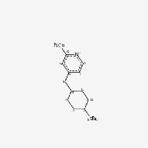 CC(C)(C)C1CCC(Cc2ccnc(C#N)c2)CC1